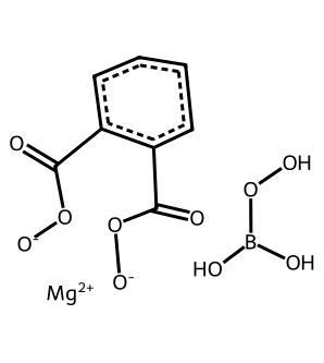 O=C(O[O-])c1ccccc1C(=O)O[O-].OOB(O)O.[Mg+2]